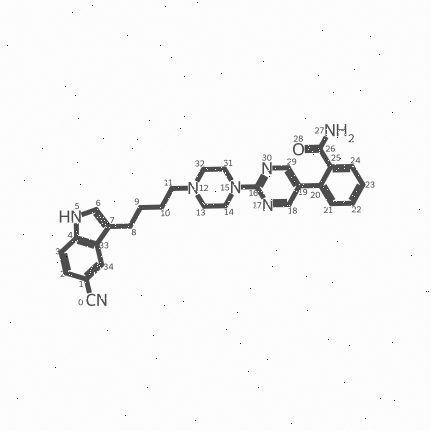 N#Cc1ccc2[nH]cc(CCCCN3CCN(c4ncc(-c5ccccc5C(N)=O)cn4)CC3)c2c1